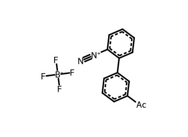 CC(=O)c1cccc(-c2ccccc2[N+]#N)c1.F[B-](F)(F)F